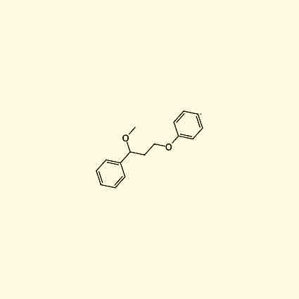 COC(CCOc1cc[c]cc1)c1ccccc1